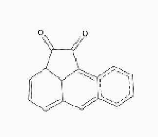 O=C1C(=O)C2C=CC=C3C=c4ccccc4=C1C32